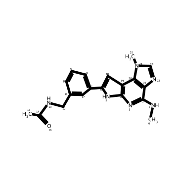 CNc1nc2[nH]c(-c3cccc(CNC(C)=O)c3)cc2c2c1ncn2C